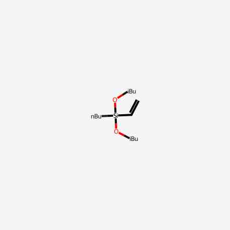 C=C[Si](CCCC)(OC(C)CC)OC(C)CC